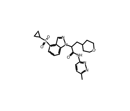 Cc1ccc(NC(=O)C(CC2CCOCC2)n2ncc3c(S(=O)(=O)C4CC4)cccc32)nn1